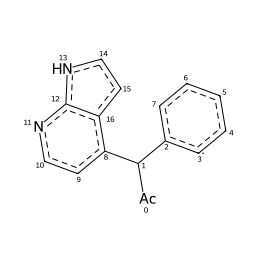 CC(=O)C(c1[c]cccc1)c1ccnc2[nH]ccc12